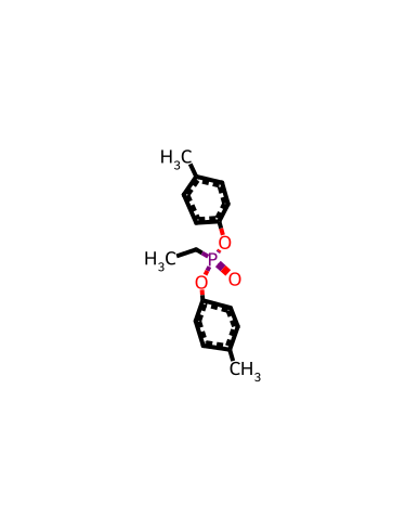 CCP(=O)(Oc1ccc(C)cc1)Oc1ccc(C)cc1